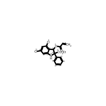 C=CC(=O)OC1c2c(Cl)cc(Cl)cc2NC1(C(=O)OCC)c1ccccc1